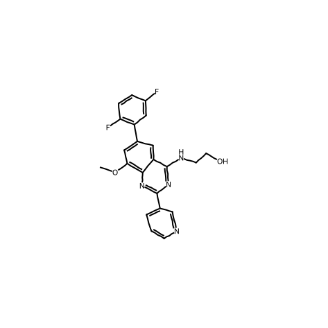 COc1cc(-c2cc(F)ccc2F)cc2c(NCCO)nc(-c3cccnc3)nc12